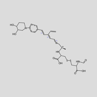 C=CC(/C=C/c1ccc(N2CCC(O)C(O)C2)cc1)=C\C=N\C[C@@H](C)NC(CSSCC(NC=O)C(=O)O)C(=O)O